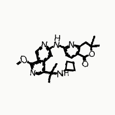 COc1ncc(C(C)(C)NC2CCC2)c2cc(Nc3ccc4c(n3)CC(C)(C)OC4=O)ncc12